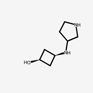 O[C@H]1C[C@@H](NC2CCNC2)C1